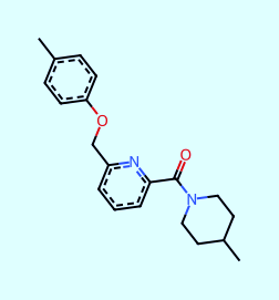 Cc1ccc(OCc2cccc(C(=O)N3CCC(C)CC3)n2)cc1